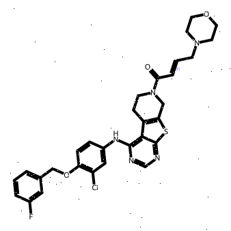 O=C(/C=C/CN1CCOCC1)N1CCc2c(sc3ncnc(Nc4ccc(OCc5cccc(F)c5)c(Cl)c4)c23)C1